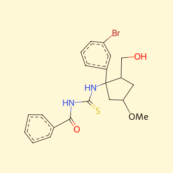 COC1CC(CO)C(NC(=S)NC(=O)c2ccccc2)(c2cccc(Br)c2)C1